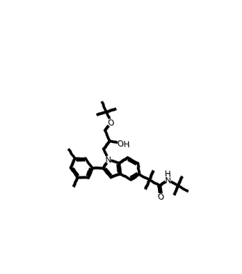 Cc1cc(C)cc(-c2cc3cc(C(C)(C)C(=O)NC(C)(C)C)ccc3n2CC(O)COC(C)(C)C)c1